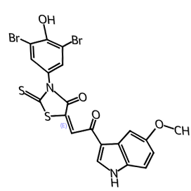 COc1ccc2[nH]cc(C(=O)/C=C3/SC(=S)N(c4cc(Br)c(O)c(Br)c4)C3=O)c2c1